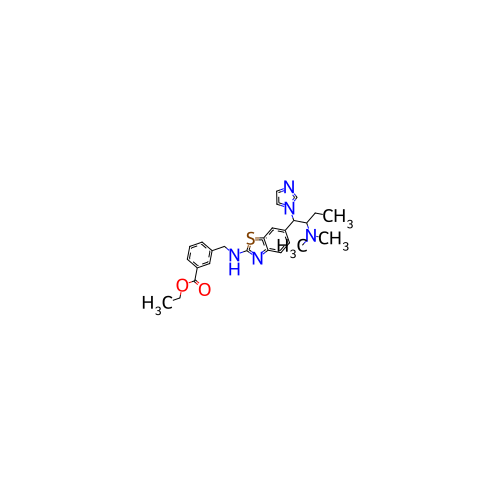 CCOC(=O)c1cccc(CNc2nc3ccc(C(C(CC)N(C)C)n4ccnc4)cc3s2)c1